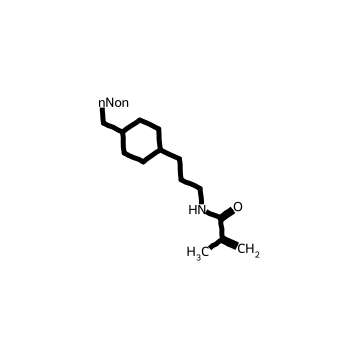 C=C(C)C(=O)NCCCC1CCC(CCCCCCCCCC)CC1